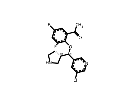 CC(=O)c1cc(F)cc(F)c1O[C@@H](c1cncc(Cl)c1)[C@H]1CCNC1